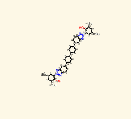 CC(C)(C)c1cc(-n2nc3ccc(-c4ccc(-c5ccc(-c6ccc7nn(-c8cc(C(C)(C)C)cc(C(C)(C)C)c8O)nc7c6)cc5)cc4)cc3n2)c(O)c(C(C)(C)C)c1